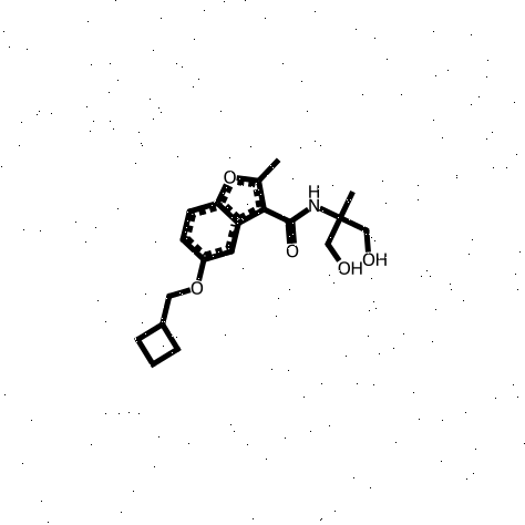 Cc1oc2ccc(OCC3CCC3)cc2c1C(=O)NC(C)(CO)CO